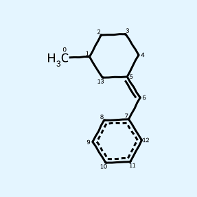 CC1CCCC(=Cc2ccccc2)C1